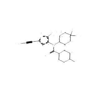 CC1CCC(C(=O)N(c2cc(C#CC(C)(C)C)sc2C(=O)O)C2CCC(F)(F)CC2)CC1